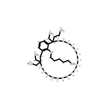 CCCCCCOc1c2cccc1C(CC)(CCC)CCCCCCCCCCCCCCCCCC(CC)(CC)C2